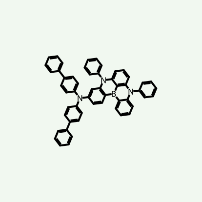 c1ccc(-c2ccc(N(c3ccc(-c4ccccc4)cc3)c3ccc4c(c3)N(c3ccccc3)c3cccc5c3B4c3ccccc3N5c3ccccc3)cc2)cc1